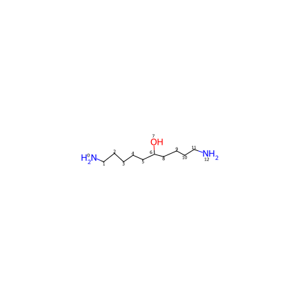 NCCCCCC(O)CCCCN